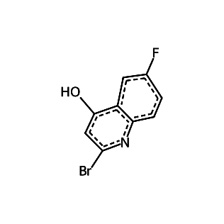 Oc1cc(Br)nc2ccc(F)cc12